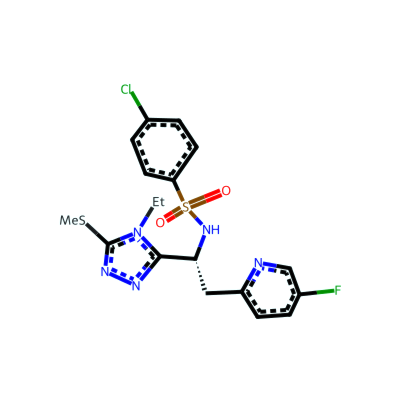 CCn1c(SC)nnc1[C@@H](Cc1ccc(F)cn1)NS(=O)(=O)c1ccc(Cl)cc1